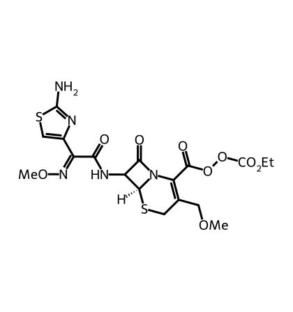 CCOC(=O)OOC(=O)C1=C(COC)CS[C@H]2C(NC(=O)C(=NOC)c3csc(N)n3)C(=O)N12